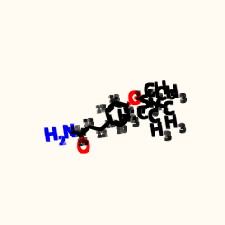 CC(C)(C)[Si](C)(C)Oc1ccc(CCC(N)=O)cc1